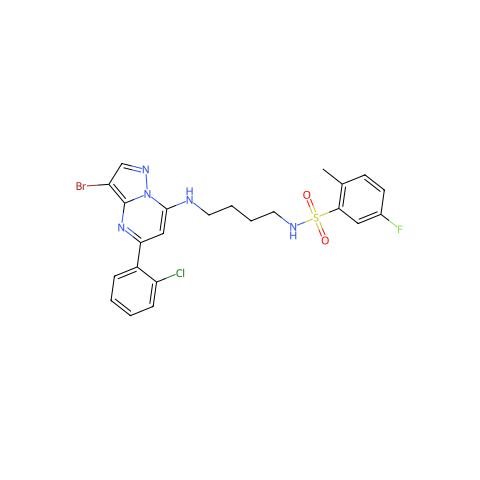 Cc1ccc(F)cc1S(=O)(=O)NCCCCNc1cc(-c2ccccc2Cl)nc2c(Br)cnn12